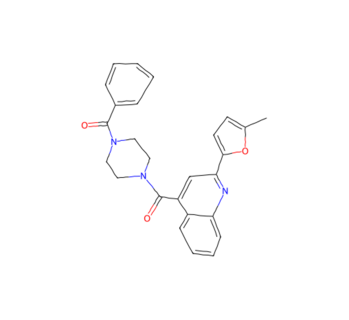 Cc1ccc(-c2cc(C(=O)N3CCN(C(=O)c4ccccc4)CC3)c3ccccc3n2)o1